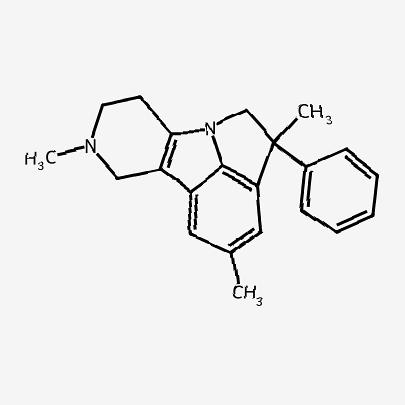 Cc1cc2c3c(c1)c1c(n3CC2(C)c2ccccc2)CCN(C)C1